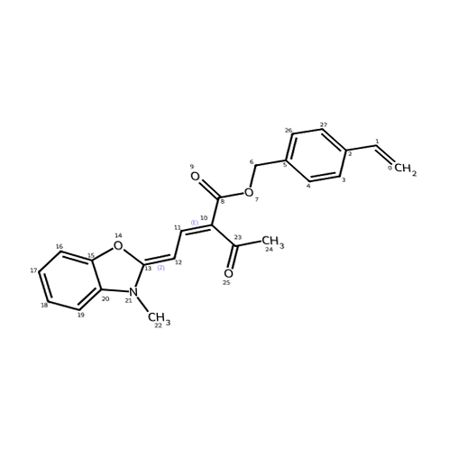 C=Cc1ccc(COC(=O)/C(=C/C=C2\Oc3ccccc3N2C)C(C)=O)cc1